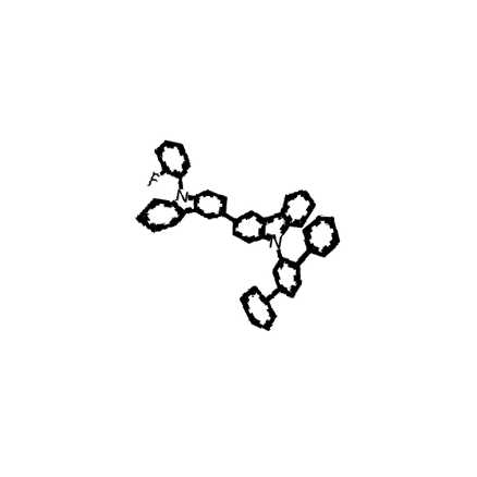 Fc1ccccc1-n1c2ccccc2c2cc(-c3ccc4c(c3)c3ccccc3n4-c3cc(-c4ccccc4)ccc3-c3ccccc3)ccc21